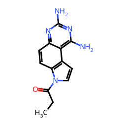 CCC(=O)n1ccc2c3c(N)nc(N)nc3ccc21